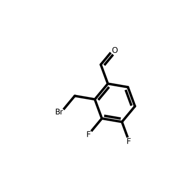 O=Cc1ccc(F)c(F)c1CBr